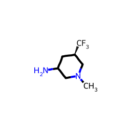 CN1CC(N)C[C@@H](C(F)(F)F)C1